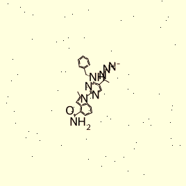 Cc1cc2c(C(N)=O)cccc2n1-c1ncc(C(C)N=[N+]=[N-])c(NCc2ccccc2)n1